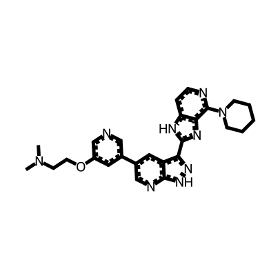 CN(C)CCOc1cncc(-c2cnc3[nH]nc(-c4nc5c(N6CCCCC6)nccc5[nH]4)c3c2)c1